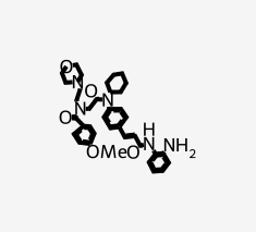 COc1ccc(C(=O)N(CCN2CCOCC2)CC(=O)N(c2ccc(/C=C/C(=O)Nc3ccccc3N)cc2)C2CCCCC2)cc1